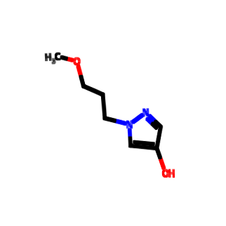 COCCCn1cc(O)cn1